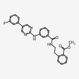 COC(=O)c1ccccc1CCNC(=O)c1cccc(Nc2ncc(-c3cccc(F)c3)cn2)c1